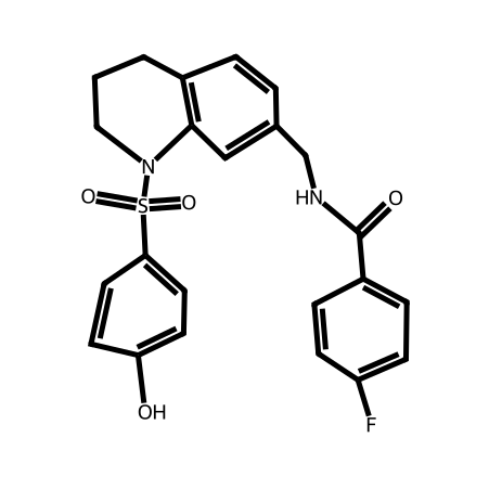 O=C(NCc1ccc2c(c1)N(S(=O)(=O)c1ccc(O)cc1)CCC2)c1ccc(F)cc1